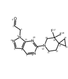 O=CCn1ncc2cnc(N3CCC4(CC4)C(F)(F)C3)nc21